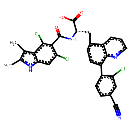 Cc1[nH]c2cc(Cl)c(C(=O)N[C@@H](Cc3ccc(-c4ccc(C#N)cc4Cl)c4ncccc34)C(=O)O)c(Cl)c2c1C